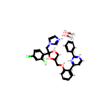 Clc1ccc(C2(Cn3ccnc3)OCC(COc3ccccc3-c3ccnc(-c4ccccc4)n3)O2)c(Cl)c1.O=[N+]([O-])O.O=[N+]([O-])O